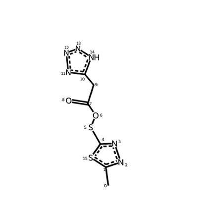 Cc1nnc(SOC(=O)Cc2nnn[nH]2)s1